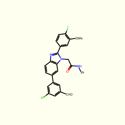 COc1cc(-c2nc3ccc(-c4cc(Cl)cc(C=O)c4)cc3n2CC(=O)NC(C)C)ccc1F